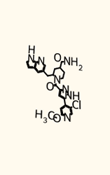 COc1cc(-c2cc(C(=O)N3CCC(C(N)=O)CC3Cc3cnc4[nH]ccc4c3)n[nH]2)c(Cl)cn1